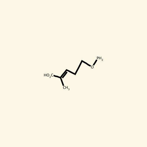 CC(=CCCOP)C(=O)O